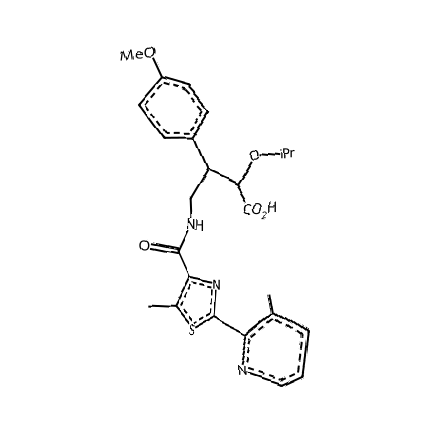 COc1ccc(C(CNC(=O)c2nc(-c3ncccc3C)sc2C)C(OC(C)C)C(=O)O)cc1